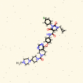 CN1CCN(C2CCN(C(=O)N3CCc4c(ncnc4Oc4ccc(NC(=O)c5cn(CC6CC6)c(=O)n(-c6ccc(F)cc6)c5=O)cc4)C3)CC2)CC1